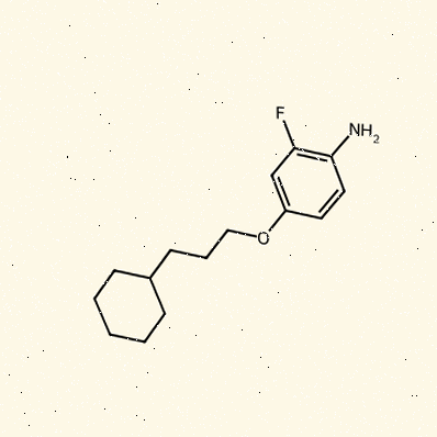 Nc1ccc(OCCCC2CCCCC2)cc1F